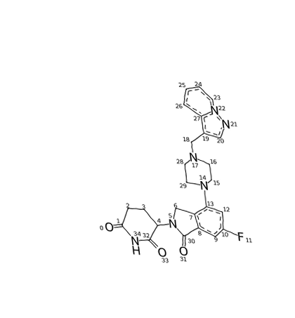 O=C1CCC(N2Cc3c(cc(F)cc3N3CCN(Cc4cnn5ccccc45)CC3)C2=O)C(=O)N1